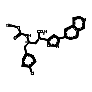 CC(C)(C)OC(=O)N[C@H](Cc1ccc(Cl)cc1)CN(C(=O)O)c1cc(-c2ccc3cnccc3c2)no1